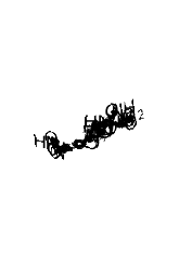 C[C@H]1CN(C(=O)C[C@H]2CC[C@@H](Cc3ccc4c(c3)n(C)c(=O)n4C3CCC(=O)NC3=O)CC2)CC[C@H]2CC[C@@H](C(=O)N[C@@H](CCC(N)=O)C(=O)NCc3ccc(S(C)(=O)=O)cc3)N2C1=O